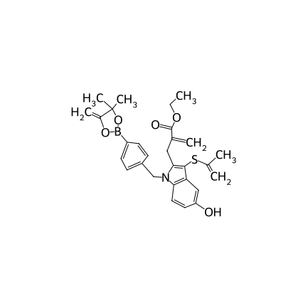 C=C(C)Sc1c(CC(=C)C(=O)OCC)n(Cc2ccc(B3OC(=C)C(C)(C)O3)cc2)c2ccc(O)cc12